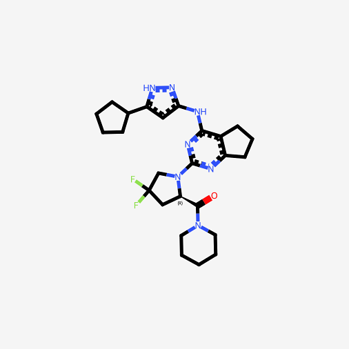 O=C([C@H]1CC(F)(F)CN1c1nc2c(c(Nc3cc(C4CCCC4)[nH]n3)n1)CCC2)N1CCCCC1